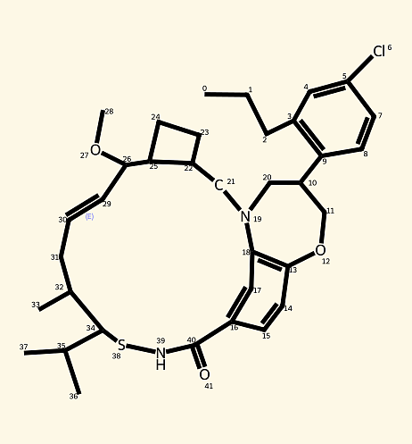 CCCc1cc(Cl)ccc1C1COc2ccc3cc2N(C1)CC1CCC1C(OC)/C=C/CC(C)C(C(C)C)SNC3=O